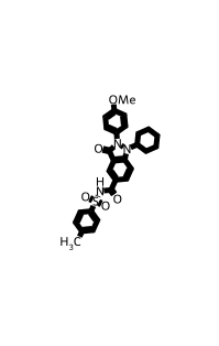 COc1ccc(-n2c(=O)c3cc(C(=O)NS(=O)(=O)c4ccc(C)cc4)ccc3n2C2CCCCC2)cc1